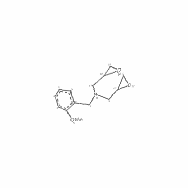 COc1ccccc1CN(CC1CO1)CC1CO1